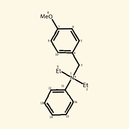 CC[N+](CC)(Cc1ccc(OC)cc1)c1ccccc1